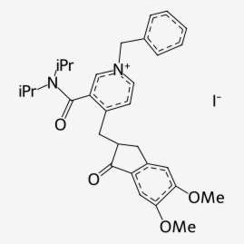 COc1cc2c(cc1OC)C(=O)C(Cc1cc[n+](Cc3ccccc3)cc1C(=O)N(C(C)C)C(C)C)C2.[I-]